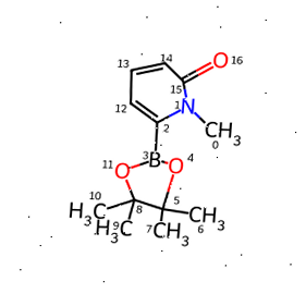 Cn1c(B2OC(C)(C)C(C)(C)O2)cccc1=O